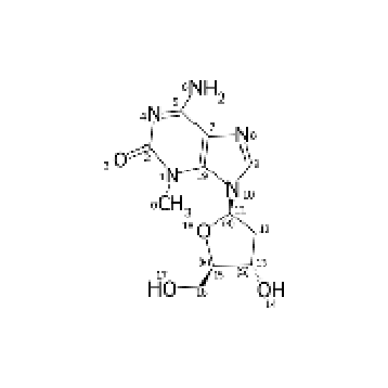 Cn1c(=O)nc(N)c2ncn([C@H]3C[C@H](O)[C@@H](CO)O3)c21